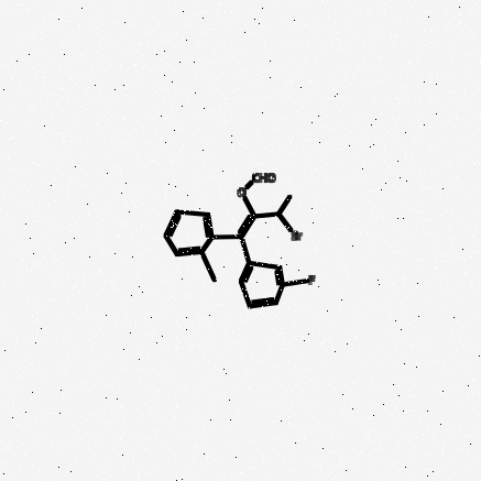 Cc1ccccc1/C(=C(\OC=O)C(C)Br)c1cccc(F)c1